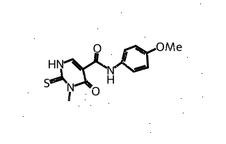 COc1ccc(NC(=O)c2c[nH]c(=S)n(C)c2=O)cc1